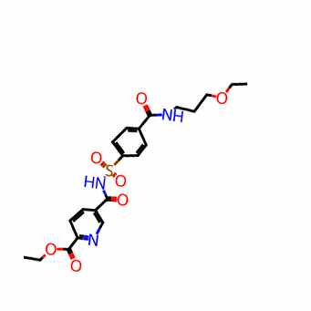 CCOCCCNC(=O)c1ccc(S(=O)(=O)NC(=O)c2ccc(C(=O)OCC)nc2)cc1